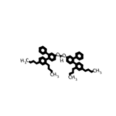 CCCCc1ccc(-c2ccc(OPOc3ccc(-c4ccc(CCCC)cc4CCCC)c(-c4ccccc4)c3)cc2-c2ccccc2)c(CCCC)c1